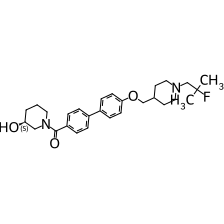 CC(C)(F)CN1CCC(COc2ccc(-c3ccc(C(=O)N4CCC[C@H](O)C4)cc3)cc2)CC1